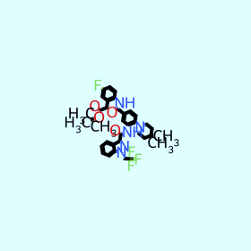 CC1(C)CCN(c2ccc(C(=O)Nc3ccc(F)cc3CC(=O)OC(C)(C)C)cc2NC(=O)c2nn(CC(F)(F)F)c3ccccc23)CC1